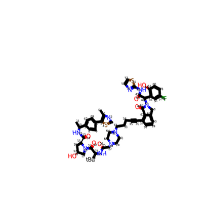 Cc1ncsc1-c1ccc(C(C)NC(=O)[C@@H]2C[C@@H](O)CN2C(=O)C(NC(=O)CN2CCN(CCCC#Cc3cccc4c3C(=O)N(C(C(=O)Nc3nccs3)c3cc(F)ccc3O)C4)CC2)C(C)(C)C)cc1